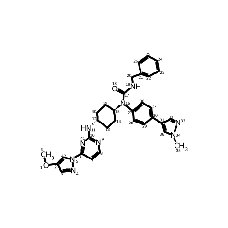 COc1cnn(-c2ccnc(N[C@H]3CC[C@H](N(C(=O)NCc4ccccc4)c4ccc(-c5cnn(C)c5)cc4)CC3)n2)c1